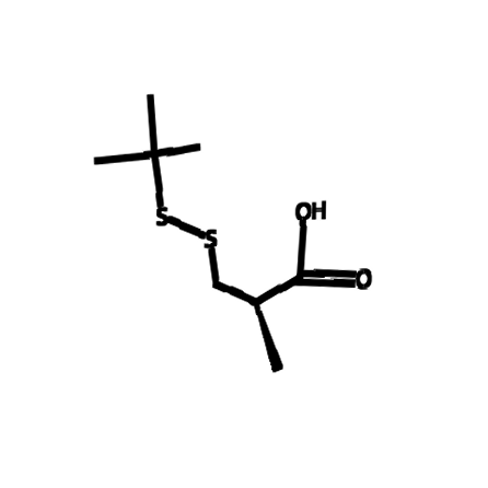 C[C@@H](CSSC(C)(C)C)C(=O)O